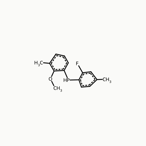 COc1c(C)cccc1Pc1ccc(C)cc1F